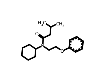 CC(C)CC(=O)N(CCOc1ccccc1)C1CCCCC1